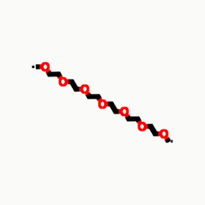 [CH2]OCCOCCOCCOCCOCCOCCO[CH2]